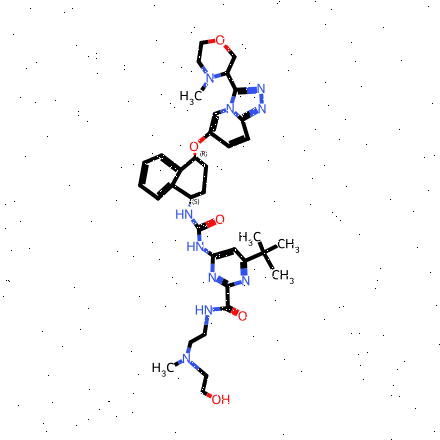 CN(CCO)CCNC(=O)c1nc(NC(=O)N[C@H]2CC[C@@H](Oc3ccc4nnc(C5COCCN5C)n4c3)c3ccccc32)cc(C(C)(C)C)n1